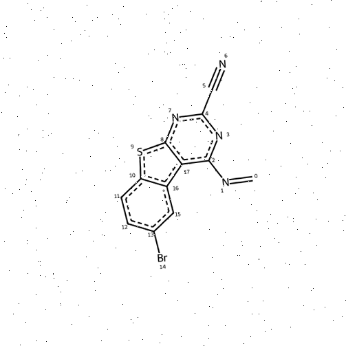 C=Nc1nc(C#N)nc2sc3ccc(Br)cc3c12